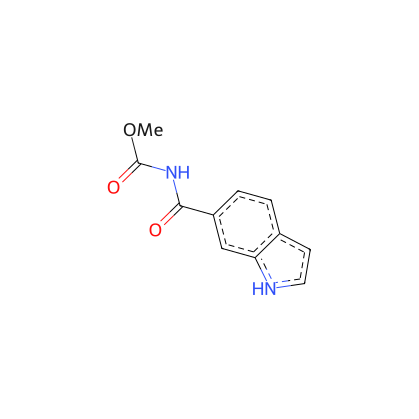 COC(=O)NC(=O)c1ccc2cc[nH]c2c1